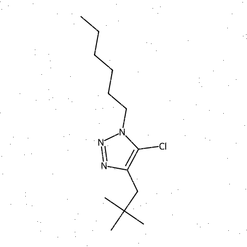 CCCCCCn1nnc(CC(C)(C)C)c1Cl